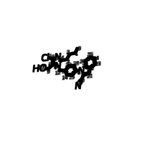 CCCCc1nc(Cl)c(CO)n1Cc1ccc(-n2c(C#N)cc3ccccc32)cc1